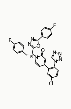 O=c1cc(-c2cc(Cl)ccc2-n2cnnn2)ccn1[C@H](Cc1ccc(F)cc1)c1nnc(-c2ccc(F)cc2)o1